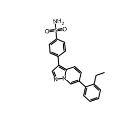 CCc1ccccc1-c1ccc2c(-c3ccc(S(N)(=O)=O)cc3)cnn2c1